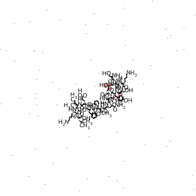 CC[C@H](C)[C@H](NC(=O)[C@H](CCC(=O)O)NC(=O)[C@H](Cc1ccccc1)NC(=O)[C@@H]1CCCN1C(=O)[C@@H](NC(=O)[C@H](CCC(N)=O)NC(=O)[C@H](CC(C)C)NC(=O)[C@H](CCC(=O)O)NC(=O)[C@H](Cc1ccc(O)cc1)NC(=O)[C@H](CO)NC(=O)[C@H](CCCCN)NC(=O)[C@H](CCC(=O)O)NC(=O)[C@@H](N)CO)[C@@H](C)O)C(=O)N[C@@H](CCCCN)C(=O)N[C@@H](CC(C)C)C(=O)O